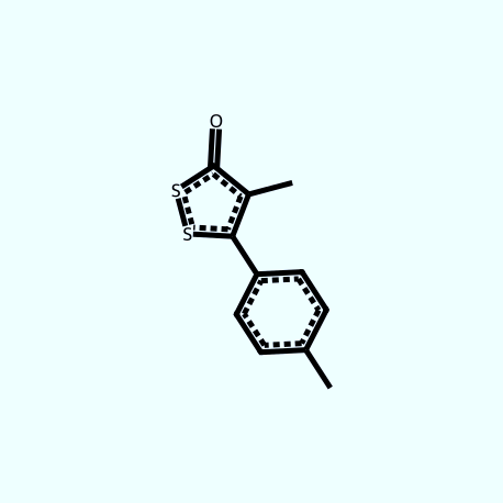 Cc1ccc(-c2ssc(=O)c2C)cc1